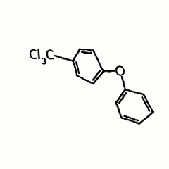 ClC(Cl)(Cl)c1ccc(Oc2ccccc2)cc1